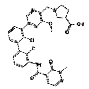 COc1nc(-c2cccc(-c3cccc(NC(=O)c4ccnn(C)c4=O)c3Cl)c2Cl)cnc1CN1CCC(C(=O)O)C1